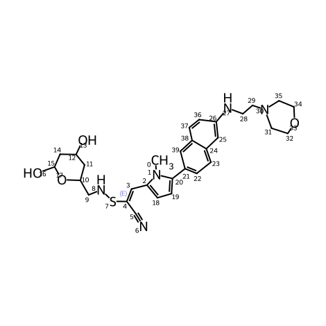 Cn1c(/C=C(\C#N)SNCC2CC(O)CC(O)O2)ccc1-c1ccc2cc(NCCN3CCOCC3)ccc2c1